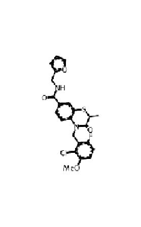 COc1ccc(F)c(CN2C(=O)C(C)Sc3cc(C(=O)NCc4ccco4)ccc32)c1Cl